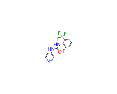 O=C(Nc1ccncc1)Nc1c(F)cccc1C(F)(F)F